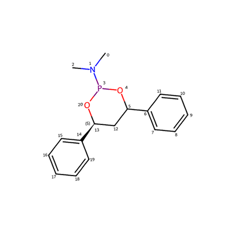 CN(C)P1OC(c2ccccc2)C[C@@H](c2ccccc2)O1